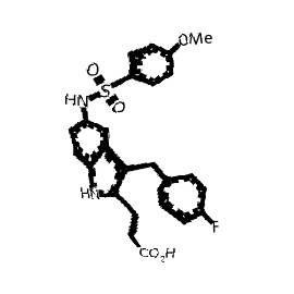 COc1ccc(S(=O)(=O)Nc2ccc3[nH]c(CCC(=O)O)c(Cc4ccc(F)cc4)c3c2)cc1